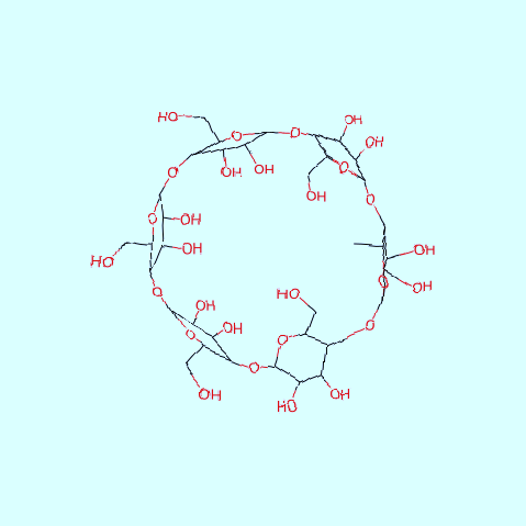 CC1OC2OC3C(CO)OC(OC4C(CO)OC(OC5C(CO)OC(OC6C(CO)OC(OC7C(CO)OC(OC1C(O)C2O)C(O)C7O)C(O)C6O)C(O)C5O)C(O)C4O)C(O)C3O